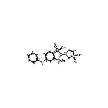 COc1cc(Oc2ccccc2)ccc1S(=O)(=O)OC1C=CS(=O)(=O)C1